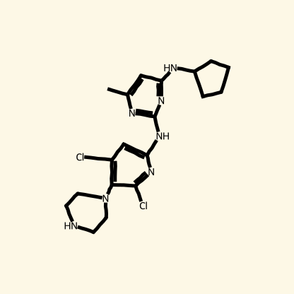 Cc1cc(NC2CCCC2)nc(Nc2cc(Cl)c(N3CCNCC3)c(Cl)n2)n1